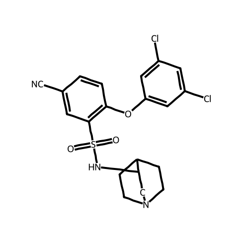 N#Cc1ccc(Oc2cc(Cl)cc(Cl)c2)c(S(=O)(=O)NC2CN3CCC2CC3)c1